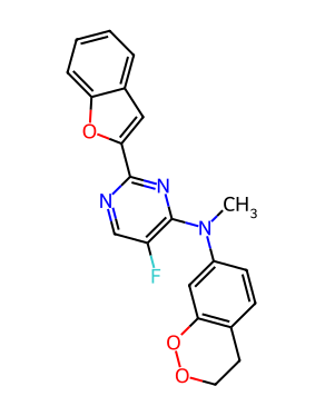 CN(c1ccc2c(c1)OOCC2)c1nc(-c2cc3ccccc3o2)ncc1F